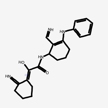 N=CC1=C(Nc2ccccc2)CCCC1NC(=O)/C(O)=C1\CCCCC1=N